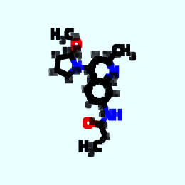 CCC(=O)Nc1ccc2c(N3CCC[C@H]3OC)cc(C)nc2c1